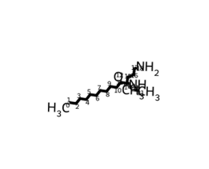 CCCCCCCCCCCC(=O)C(C)(CCCN)NCC